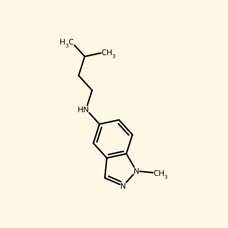 CC(C)CCNc1ccc2c(cnn2C)c1